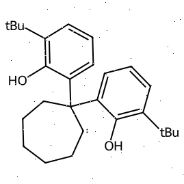 CC(C)(C)c1cccc(C2(c3cccc(C(C)(C)C)c3O)[C]CCCCC2)c1O